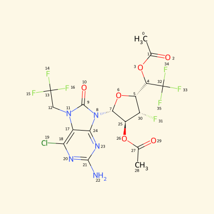 CC(=O)OC([C@H]1O[C@@H](n2c(=O)n(CC(F)(F)F)c3c(Cl)nc(N)nc32)[C@H](OC(C)=O)[C@H]1F)C(F)(F)F